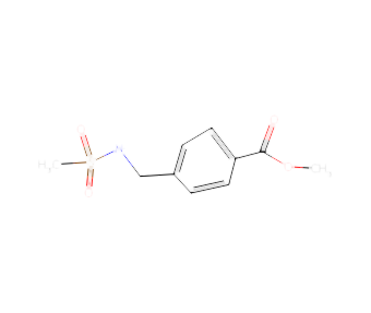 COC(=O)c1ccc(C[N]S(C)(=O)=O)cc1